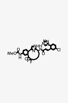 COC(=O)Nc1ccc2c(c1)C(=O)C(F)(F)CCCC[C@H](NC(=O)/C=C/c1cc(Cl)ccc1-n1cnnn1)c1nc-2c[nH]1